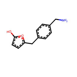 NCc1ccc(Cc2ccc(O)o2)cc1